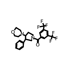 O=C(c1cc(C(F)(F)F)cc(C(F)(F)F)c1)N1CCC(N2CCOCC2)C(c2ccccc2)C1